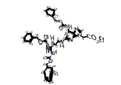 CCOC(=O)Cn1cnc2c(NC(=O)OCc3ccccc3)nc(NCCN/C(=N\C(=O)OCc3ccccc3)NC(=O)OCc3ccccc3)nc21